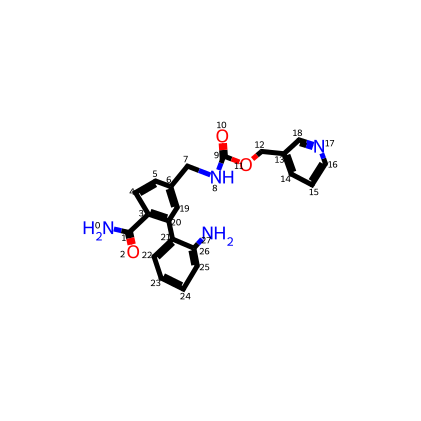 NC(=O)c1ccc(CNC(=O)OCc2cccnc2)cc1-c1ccccc1N